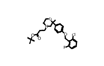 CC(C)(C)OC(=O)CCN1CCOC(C)(c2ccc(OCc3c(F)cccc3Cl)cc2)C1